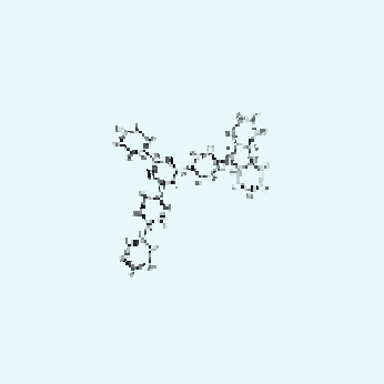 c1ccc(-c2ccc(-c3cc(-c4ccc(-n5c6ccccc6c6ccccc65)cc4)nc(-c4ccccc4)n3)cc2)cc1